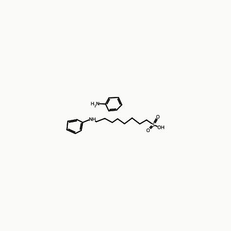 Nc1ccccc1.O=S(=O)(O)CCCCCCCCNc1ccccc1